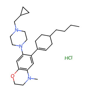 CCCCC1CC=C(c2cc3c(cc2N2CCN(CC4CC4)CC2)OCCN3C)CC1.Cl